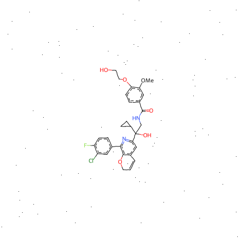 COc1cc(C(=O)NCC(O)(c2cc3c(c(-c4ccc(F)c(Cl)c4)n2)OCC=C3)C2CC2)ccc1OCCO